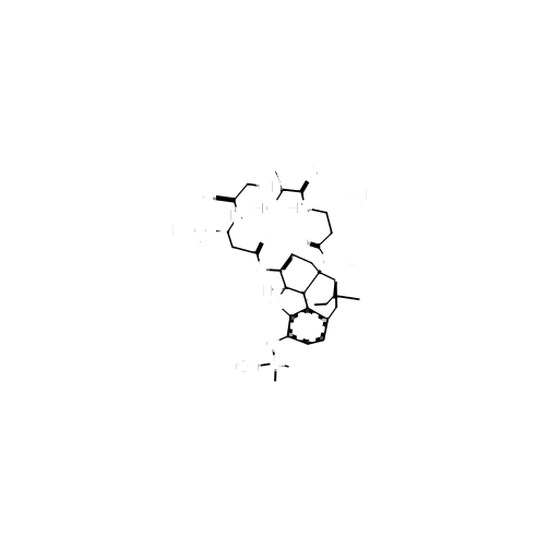 CC1CC[C@]23c4c5ccc(O[Si](C)(C)C(C)(C)C)c4O[C@H]2C(OC(=O)C[C@H](NC(=O)[C@H](C)O)C(=O)O)=CC[C@@]3(OC(=O)C[C@H](NC(=O)[C@H](C)O)C(=O)O)[C@H]1C5